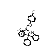 COC(=O)[C@@H](COc1ccc(Cl)cc1)NC(c1ccccc1)(c1ccccc1)c1ccccc1